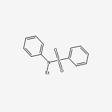 CCN(c1ccccc1)S(=O)(=O)c1[c]cccc1